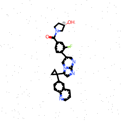 O=C(c1ccc(-c2cnc3ncc(C4(c5ccc6ncccc6c5)CC4)n3c2)c(F)c1)N1CC[C@H](O)C1